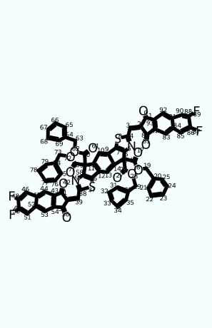 O=C1C(=Cc2nc3c(s2)-c2cc4c(cc2C3(C(=O)OCc2ccccc2)C(=O)OCc2ccccc2)-c2sc(C=C3C(=O)c5cc6cc(F)c(F)cc6cc5C3=O)nc2C4(C(=O)OCc2ccccc2)C(=O)OCc2ccccc2)C(=O)c2cc3cc(F)c(F)cc3cc21